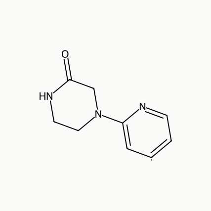 O=C1CN(c2c[c]ccn2)CCN1